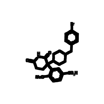 COc1ccc(S(=O)(=O)O)cc1C1(C2CCN(Cc3ccc(Br)cc3)CC2)CCC(=O)NC1=O